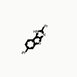 CC(C)c1ccc2c(c1)sc1nc(C(C)C)[nH]c12